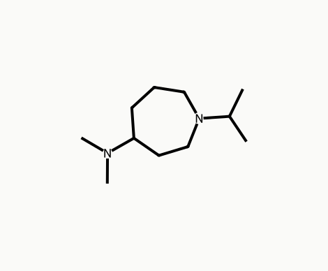 CC(C)N1CCCC(N(C)C)CC1